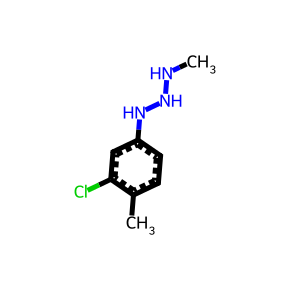 CNNNc1ccc(C)c(Cl)c1